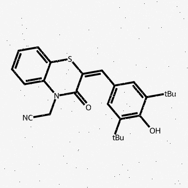 CC(C)(C)c1cc(C=C2Sc3ccccc3N(CC#N)C2=O)cc(C(C)(C)C)c1O